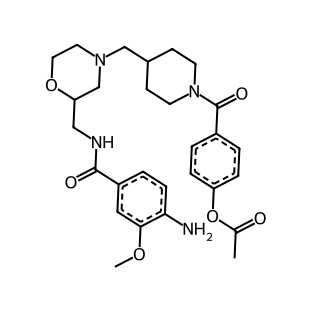 COc1cc(C(=O)NCC2CN(CC3CCN(C(=O)c4ccc(OC(C)=O)cc4)CC3)CCO2)ccc1N